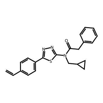 C=Cc1ccc(-c2nnc(N(CC3CC3)C(=O)Cc3ccccc3)s2)cc1